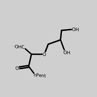 CCCCCC(=O)C([C]=O)OCC(O)CO